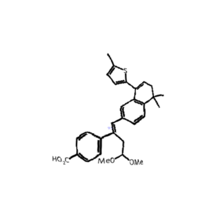 COC(C/C(=C\c1ccc2c(c1)C(c1ccc(C)s1)=CCC2(C)C)c1ccc(C(=O)O)cc1)OC